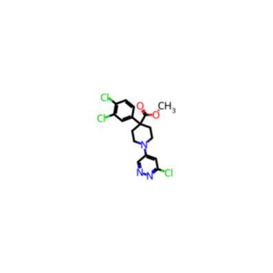 COC(=O)C1(c2ccc(Cl)c(Cl)c2)CCN(c2cnnc(Cl)c2)CC1